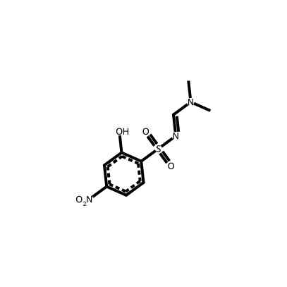 CN(C)C=NS(=O)(=O)c1ccc([N+](=O)[O-])cc1O